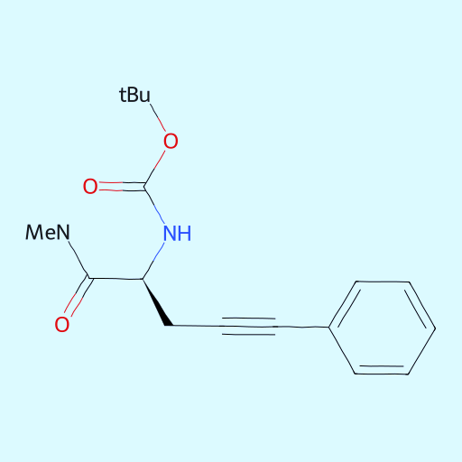 CNC(=O)[C@H](CC#Cc1ccccc1)NC(=O)OC(C)(C)C